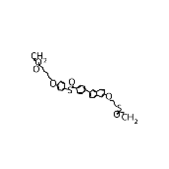 C=COC(=O)CCCCCOc1ccc(SC(=O)c2ccc(-c3ccc4cc(OCCCSC(=O)C=C)ccc4c3)cc2)cc1